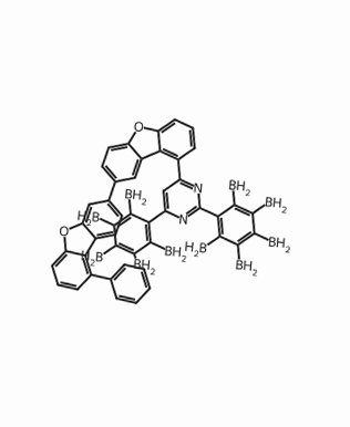 Bc1c(B)c(B)c(-c2cc(-c3cccc4oc5ccc(-c6ccc7c(c6)oc6cccc(-c8ccccc8)c67)cc5c34)nc(-c3c(B)c(B)c(B)c(B)c3B)n2)c(B)c1B